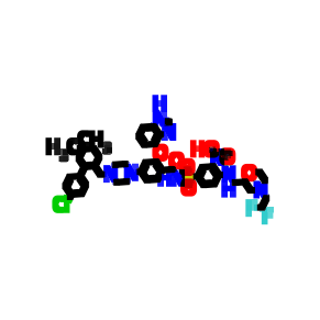 CC1(C)CCC(CN2CCN(c3ccc(C(=O)NS(=O)(=O)c4ccc(NCC5CN(CC(F)F)CCO5)c([N+](=O)O)c4)c(Oc4cccc5[nH]cnc45)c3)CC2)=C(c2ccc(Cl)cc2)C1